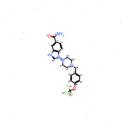 NC(=O)c1ccc2c(c1)ncn2N1CCN(Cc2ccc(OC(F)(F)F)cc2)CC1